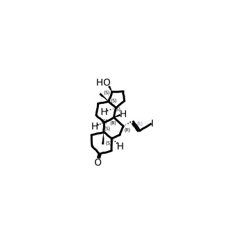 C[C@]12CCC(=O)C[C@@H]1C[C@@H](/C=C/I)[C@@H]1[C@@H]2CC[C@]2(C)[C@@H](O)CC[C@@H]12